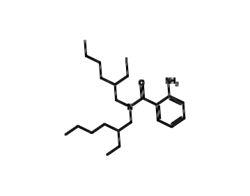 CCCCC(CC)CN(CC(CI)CCCC)C(=O)c1ccccc1N